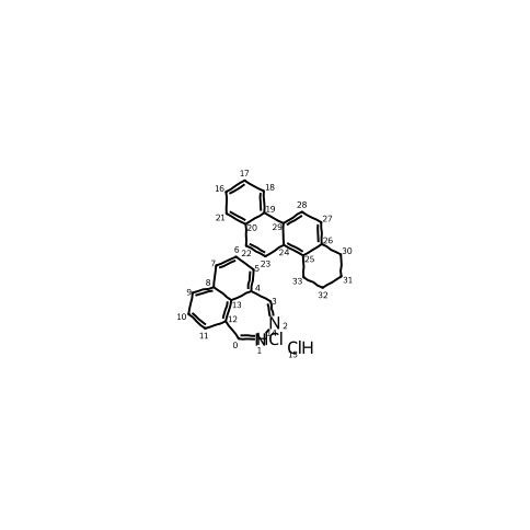 C1=NN=Cc2cccc3cccc1c23.Cl.Cl.c1ccc2c(c1)ccc1c3c(ccc12)CCCC3